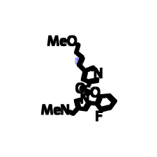 CNCc1cc(-c2ccccc2F)n(S(=O)(=O)c2cncc(/C=C/CCOC)c2)c1